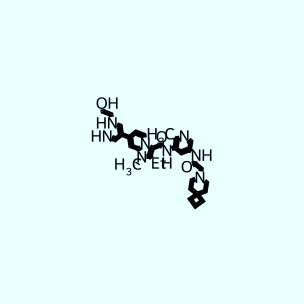 CCC1=C(C(=O)Nc2cc(NC(=O)CN3CCC4(CCC4)CC3)cnc2C)N2C=CC(/C(C=N)=C/NCCO)=CC2N1C